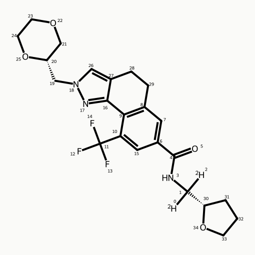 [2H]C([2H])(NC(=O)c1cc2c(c(C(F)(F)F)c1)-c1nn(C[C@H]3COCCO3)cc1CC2)[C@@H]1CCCO1